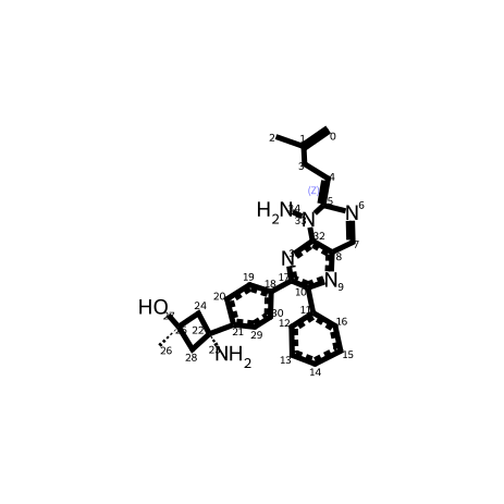 C=C(C)C/C=C1/N=Cc2nc(-c3ccccc3)c(-c3ccc([C@]4(N)C[C@](C)(O)C4)cc3)nc2N1N